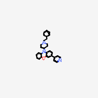 c1ccc(CCN2CCC(N3c4ccccc4Oc4cc(-c5ccncc5)ccc43)CC2)cc1